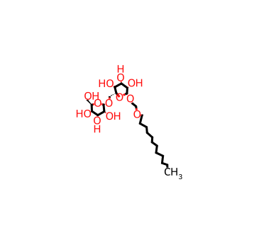 CCCCCCCCCCCCOCCO[C@@H]1O[C@H](CO[C@H]2O[C@H](CO)[C@H](O)[C@H](O)[C@H]2O)[C@@H](O)[C@H](O)[C@H]1O